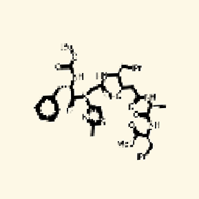 COC(=O)[C@H](CC(C)C)NC(=O)[C@H](C)NC(=O)C[C@H](O)[C@H](CC(C)C)NC(=O)CN(C(=O)[C@H](Cc1ccccc1)NC(=O)OC(C)(C)C)c1csc(C)n1